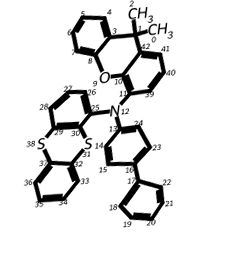 CC1(C)c2ccccc2Oc2c(N(c3ccc(-c4ccccc4)cc3)c3cccc4c3Sc3ccccc3S4)cccc21